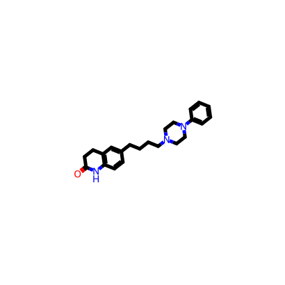 O=C1CCc2cc(CCCCN3CCN(c4ccccc4)CC3)ccc2N1